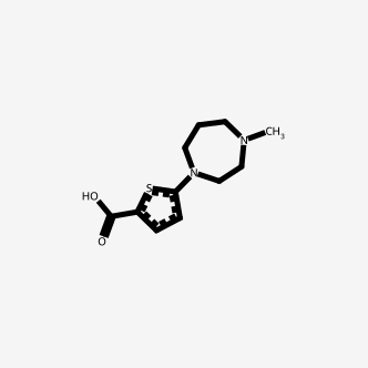 CN1CCCN(c2ccc(C(=O)O)s2)CC1